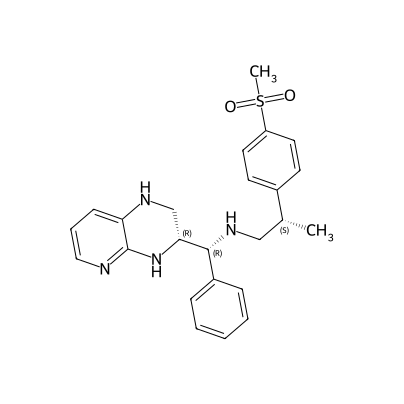 C[C@H](CN[C@H](c1ccccc1)[C@H]1CNc2cccnc2N1)c1ccc(S(C)(=O)=O)cc1